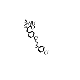 O=C1NC(=S)SC1=Cc1ccc(OCCSc2ccc(Cl)cc2)cc1